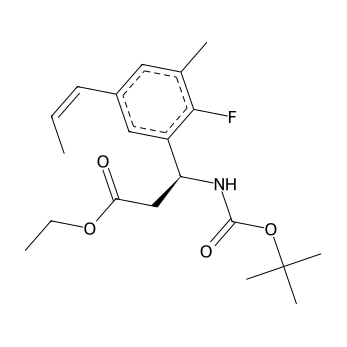 C/C=C\c1cc(C)c(F)c([C@H](CC(=O)OCC)NC(=O)OC(C)(C)C)c1